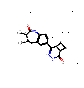 CC1Cc2cc(C3=NNC(=O)C4CCC34)ccc2NC(=O)C1C